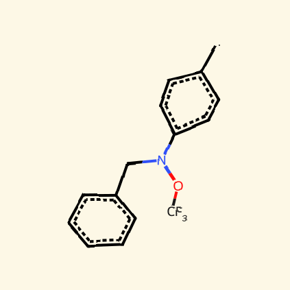 [CH2]c1ccc(N(Cc2ccccc2)OC(F)(F)F)cc1